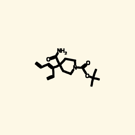 C=C/C=C(\C=C)C1(C(N)=O)CCN(C(=O)OC(C)(C)C)CC1